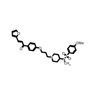 COc1ccc(S(=O)(=O)N(C)C2CCN(CCCOc3ccc(C(=O)C=Cc4ccco4)cc3)CC2)cc1